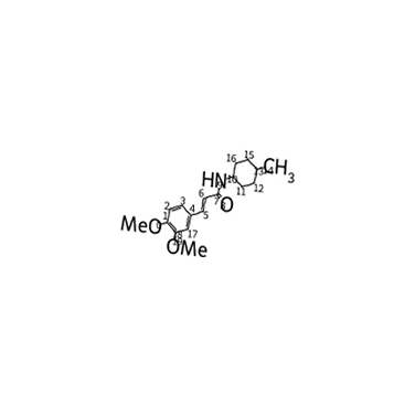 COc1ccc(/C=C/C(=O)NC2CCC(C)CC2)cc1OC